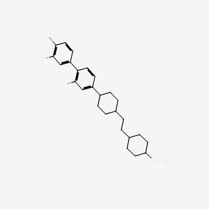 CCCCCCCC1CCC(CCC2CCC(c3ccc(-c4ccc(Cl)c(F)c4)c(F)c3)CC2)CC1